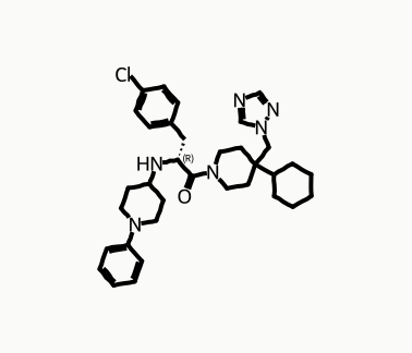 O=C([C@@H](Cc1ccc(Cl)cc1)NC1CCN(c2ccccc2)CC1)N1CCC(Cn2cncn2)(C2CCCCC2)CC1